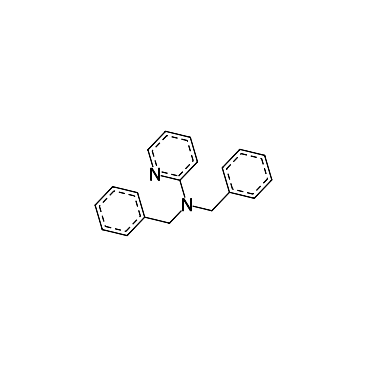 c1ccc(CN(Cc2ccccc2)c2ccccn2)cc1